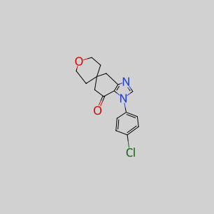 O=C1CC2(CCOCC2)Cc2ncn(-c3ccc(Cl)cc3)c21